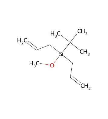 C=CC[Si](CC=C)(OC)C(C)(C)C